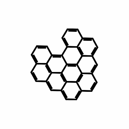 c1cc2ccc3cc4ccc5ccc6cc7ccc8cccc9c8c7c7c6c5c4c4c3c2c(c1)c9c47